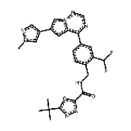 Cn1cc(-c2cc3c(-c4ccc(CNC(=O)c5nnc(C(C)(C)C)o5)c(C(F)F)c4)ncnn3c2)cn1